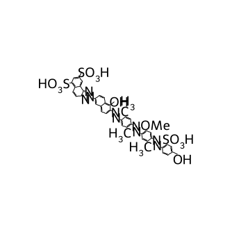 COc1cc(N=Nc2ccc(CO)cc2S(=O)(=O)O)c(C)cc1N=Nc1cc(C)c(N=Nc2ccc3cc(-n4nc5ccc6c(S(=O)(=O)O)cc(S(=O)(=O)O)cc6c5n4)ccc3c2O)cc1C